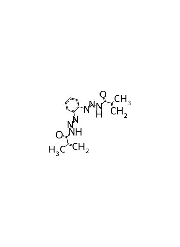 C=C(C)C(=O)NN=Nc1ccccc1N=NNC(=O)C(=C)C